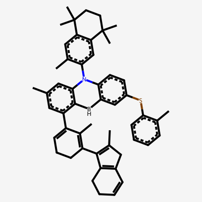 CC1=C(C2=C(C)C(c3cc(C)cc4c3Bc3cc(Sc5ccccc5C)ccc3N4c3cc4c(cc3C)C(C)(C)CCC4(C)C)=CCC2)C2=C(C=CCC2)C1